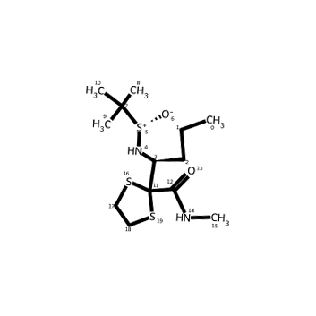 CCC[C@H](N[S@@+]([O-])C(C)(C)C)C1(C(=O)NC)SCCS1